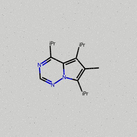 Cc1c(C(C)C)c2c(C(C)C)ncnn2c1C(C)C